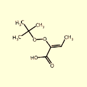 C/C=C(\OOC(C)(C)C)C(=O)O